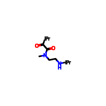 CC(C)NCCN(C)C(=O)C(=O)C(C)C